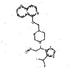 O=NCC(c1scnc1C(F)F)N1CCC(COc2nccc3ncccc23)CC1